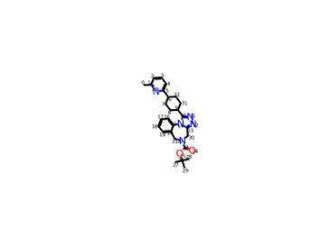 Cc1cccc(C2CCC(c3nnc4n3-c3ccccc3CN(C(=O)OC(C)(C)C)C4)CC2)n1